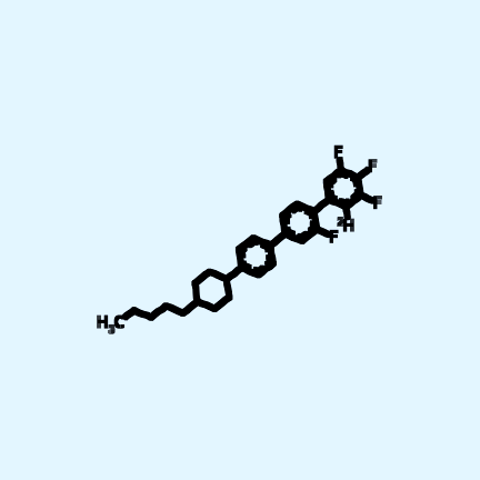 [2H]c1c(-c2ccc(-c3ccc(C4CCC(CCCCC)CC4)cc3)cc2F)cc(F)c(F)c1F